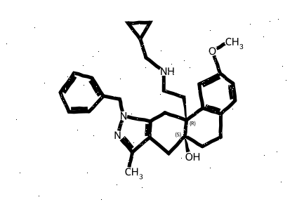 COc1ccc2c(c1)[C@@]1(CCNCC3CC3)Cc3c(c(C)nn3Cc3ccccc3)C[C@@]1(O)CC2